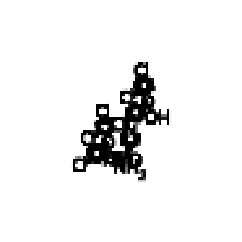 NNC(=O)c1ccncc1.Oc1cc(Cl)ccc1Oc1ccc(Cl)cc1Cl.Oc1cc(Cl)ccc1Oc1ccc(Cl)cc1Cl